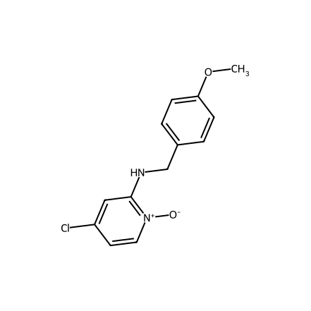 COc1ccc(CNc2cc(Cl)cc[n+]2[O-])cc1